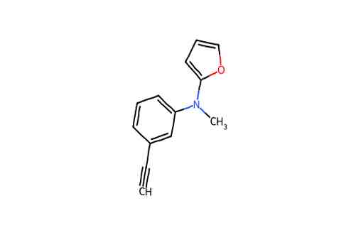 C#Cc1cccc(N(C)c2ccco2)c1